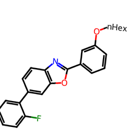 CCCCCCOc1cccc(-c2nc3ccc(-c4ccccc4F)cc3o2)c1